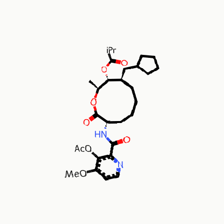 COc1ccnc(C(=O)N[C@H]2CCCC[C@H](CC3CCCC3)[C@@H](OC(=O)C(C)C)[C@H](C)OC2=O)c1OC(C)=O